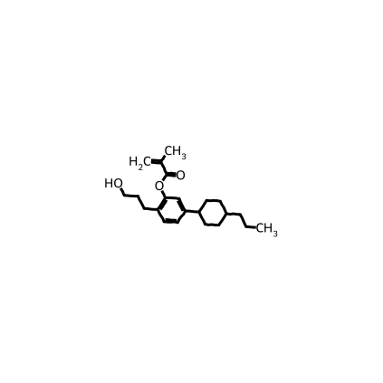 C=C(C)C(=O)Oc1cc(C2CCC(CCC)CC2)ccc1CCCO